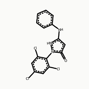 O=c1cc(Nc2ccccc2)[nH]n1-c1c(Cl)cc(Cl)cc1Cl